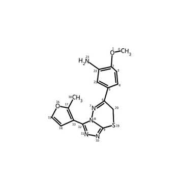 COc1ccc(C2=Nn3c(nnc3-c3ccoc3C)SC2)cc1N